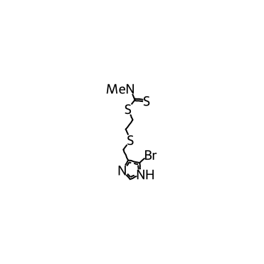 CNC(=S)SCCSCc1nc[nH]c1Br